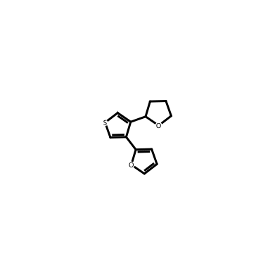 [c]1scc(-c2ccco2)c1C1CCCO1